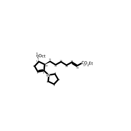 CCCCCCCC[C@H]1CC=C(N2CCCC2)[C@@H]1CCCCC=CC(=O)OCC